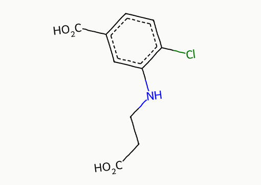 O=C(O)CCNc1cc(C(=O)O)ccc1Cl